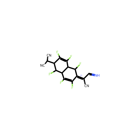 N#C/C(C=N)=C1\C(F)=C(F)C2C(F)C(C(C#N)C#N)C(F)=C(F)C2C1F